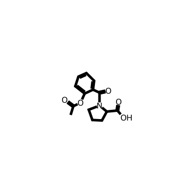 CC(=O)Oc1ccccc1C(=O)N1CCCC1C(=O)O